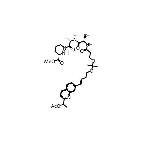 COC(=O)[C@@H]1CCCN(C(=O)[C@H](C)NC(=O)[C@@H](NC(=O)CCOC(C)(C)OCC/C=C/c2ccc3ccc([C@@H](C)OC(C)=O)nc3c2)C(C)C)N1